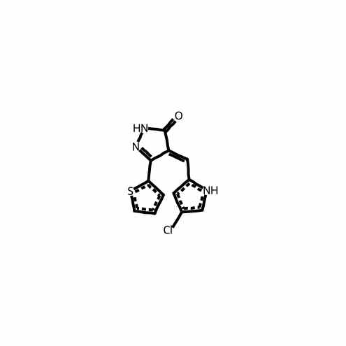 O=C1NN=C(c2cccs2)C1=Cc1cc(Cl)c[nH]1